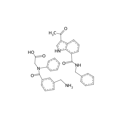 CC(=O)c1c[nH]c2c(C(=O)NCc3ccccc3)cccc12.NCc1cccc(C(=O)N(CC(=O)O)c2ccccc2)c1